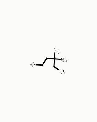 [CH2]C(N)(CC)CCN